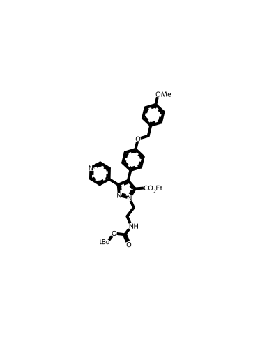 CCOC(=O)c1c(-c2ccc(OCc3ccc(OC)cc3)cc2)c(-c2ccncc2)nn1CCNC(=O)OC(C)(C)C